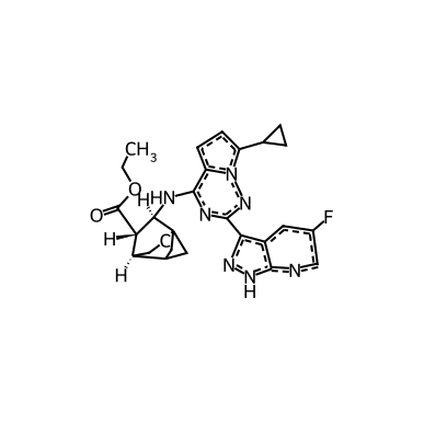 CCOC(=O)[C@@H]1[C@@H](Nc2nc(-c3n[nH]c4ncc(F)cc34)nn3c(C4CC4)ccc23)C23CC[C@H]1C(C2)C3